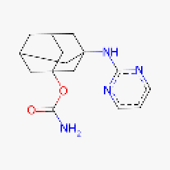 NC(=O)OC12CC3CC(CC(Nc4ncccn4)(C3)C1)C2